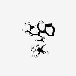 CCC(c1ccccc1)C(NC(=O)OC(C)(C)C)C1OC1(C)C(=O)O